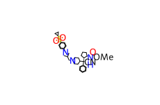 COC(=O)N[C@H]1CCC[C@@H]1C(C#N)(c1ccccc1)C1CCN(CC2CN(c3ccc(S(=O)(=O)C4CC4)cc3)C2)CC1